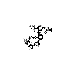 [2H]C([2H])([2H])O[C@H]1COC[C@H]1n1cc(-c2cccc(Nc3cc(NC(=O)C4CC4)ncc3C(N)=O)c2OC)cn1